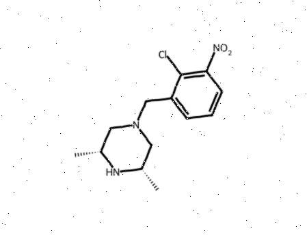 C[C@@H]1CN(Cc2cccc([N+](=O)[O-])c2Cl)C[C@H](C)N1